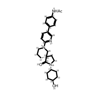 CC(=O)Nc1ccc(-c2ccc(N3CCC[C@@]4(CCN([C@H]5CC[C@H](O)CC5)C4=O)C3)nc2)cc1